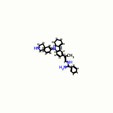 C/C(=C\NC(N)c1ccccc1)c1ccc2c(c1)C1=CCCCC1N2c1ccc2c(c1)CCNC2